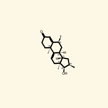 C[C@@H]1C[C@H]2[C@@H]3C[C@H](F)C4=CC(=O)CC[C@]4(C)C3=CC[C@]2(C)[C@@H]1O